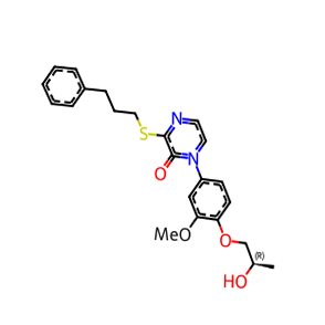 COc1cc(-n2ccnc(SCCCc3ccccc3)c2=O)ccc1OC[C@@H](C)O